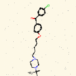 CC(C)(C(=O)O)N1CCN(CCCCCOc2ccc(C(=O)c3ccc(Cl)cc3)cc2)CC1